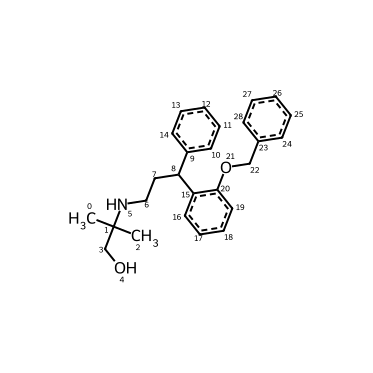 CC(C)(CO)NCCC(c1ccccc1)c1ccccc1OCc1ccccc1